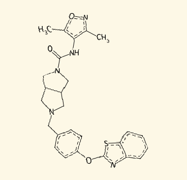 Cc1noc(C)c1NC(=O)N1CC2CN(Cc3ccc(Oc4nc5ccccc5s4)cc3)CC2C1